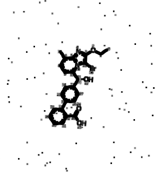 CCOc1nc2c(C)ccc([C@H](O)c3ccc(-c4ccccc4C(=O)O)cc3)n2c1Br